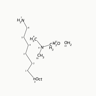 CCCCCCCCCCCCCCN.CN(C)C.O.O